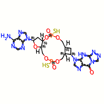 Nc1ncnc2c1ncn2[C@H]1C[C@@H]2O[P@](=O)(S)OC[C@H]3C[C@@H](n4cnc5c(=O)n6cnnc6[nH]c54)[C@@H]3CO[P@@](=O)(S)OC[C@H]2O1